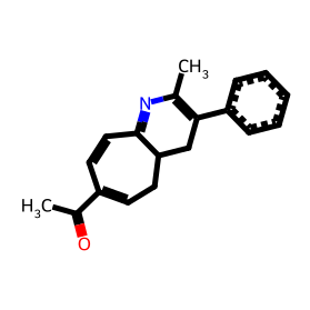 CC(=O)C1=CCC2CC(c3ccccc3)=C(C)N=C2C=C1